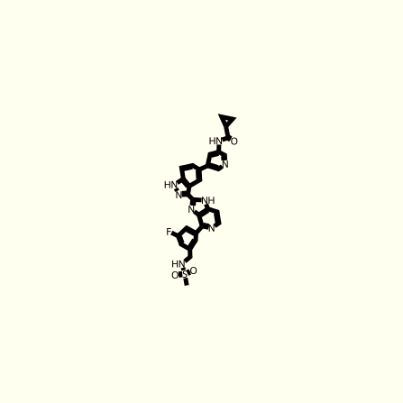 CS(=O)(=O)NCc1cc(F)cc(-c2nccc3[nH]c(-c4n[nH]c5ccc(-c6cncc(NC(=O)C7CC7)c6)cc45)nc23)c1